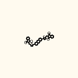 O=C1C(=Cc2ccc(-c3ccc4cc5cc(-c6ccc(C=C7C(=O)c8ccccc8C7=O)s6)ccc5cc4c3)s2)C(=O)c2ccccc21